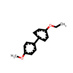 CCOc1ccc(-c2ccc(OC)cc2)cc1